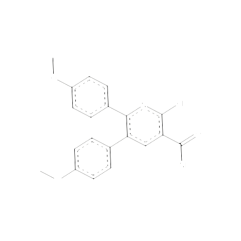 COc1ccc(-c2cc(C(N)=O)c(Cl)nc2-c2ccc(OC)cc2)cc1